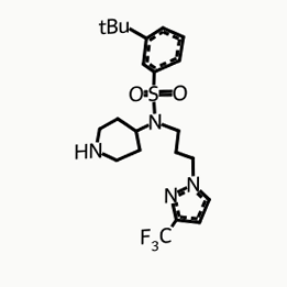 CC(C)(C)c1cccc(S(=O)(=O)N(CCCn2ccc(C(F)(F)F)n2)C2CCNCC2)c1